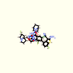 N#Cc1c(N)sc2c(F)ccc(-c3c(Cl)cc4c(N5CC6CCC(C5)N6C(=O)Nc5ncccn5)nc(OC[C@@]56CCCN5C[C@H](F)C6)nc4c3F)c12